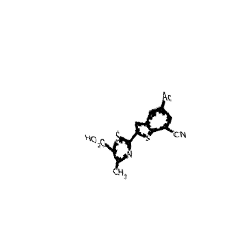 CC(=O)c1cc(C#N)c2sc(-c3nc(C)c(C(=O)O)s3)cc2c1